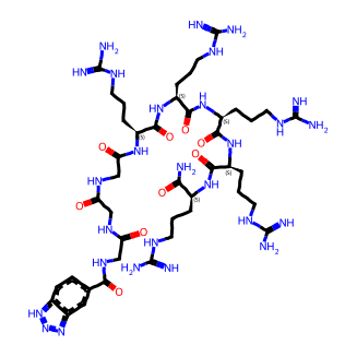 N=C(N)NCCC[C@H](NC(=O)[C@H](CCCNC(=N)N)NC(=O)[C@H](CCCNC(=N)N)NC(=O)[C@H](CCCNC(=N)N)NC(=O)[C@H](CCCNC(=N)N)NC(=O)CNC(=O)CNC(=O)CNC(=O)c1ccc2[nH]nnc2c1)C(N)=O